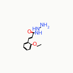 CCOc1ccccc1C=CC(=O)NNCN